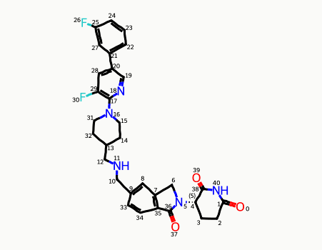 O=C1CC[C@H](N2Cc3cc(CNCC4CCN(c5ncc(-c6cccc(F)c6)cc5F)CC4)ccc3C2=O)C(=O)N1